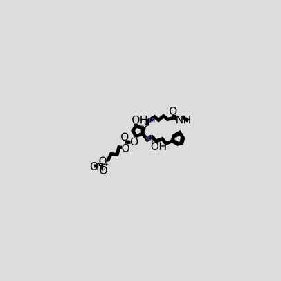 CCNC(=O)CCC/C=C\C[C@H]1C(O)CC(OC(=O)OCCCCO[N+](=O)[O-])C1/C=C/[C@@H](O)CCc1ccccc1